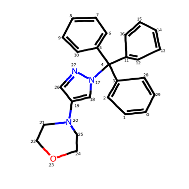 c1ccc(C(c2ccccc2)(c2ccccc2)n2cc(N3CCOCC3)cn2)cc1